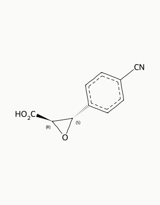 N#Cc1ccc([C@@H]2O[C@H]2C(=O)O)cc1